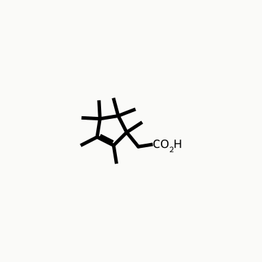 CC1=C(C)C(C)(CC(=O)O)C(C)(C)C1(C)C